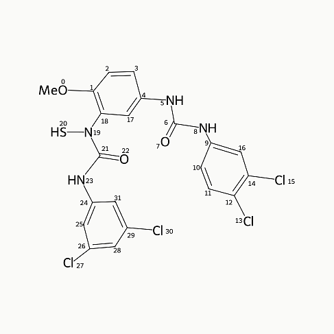 COc1ccc(NC(=O)Nc2ccc(Cl)c(Cl)c2)cc1N(S)C(=O)Nc1cc(Cl)cc(Cl)c1